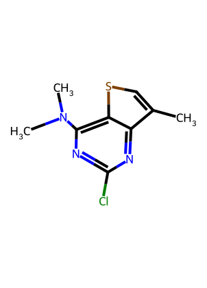 Cc1csc2c(N(C)C)nc(Cl)nc12